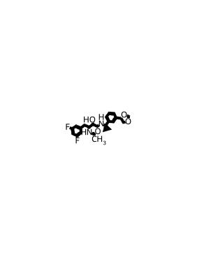 CC(=O)NC(Cc1cc(F)cc(F)c1)C(O)CNC1(c2cccc(C3COCO3)c2)CC1